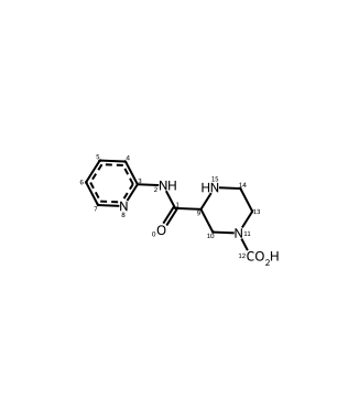 O=C(Nc1ccccn1)C1CN(C(=O)O)CCN1